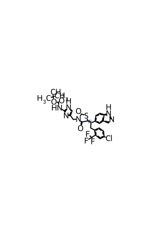 CC(C)(C)OC(=O)Nc1nc(CN2C(=O)S/C(=C(/Cc3ccc(Cl)cc3C(F)(F)F)c3ccc4[nH]ncc4c3)C2=O)c[nH]1